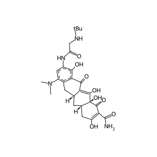 CN(C)c1cc(NC(=O)CNC(C)(C)C)c(O)c2c1C[C@H]1C[C@H]3CC(O)=C(C(N)=O)C(=O)[C@@]3(O)C(O)=C1C2=O